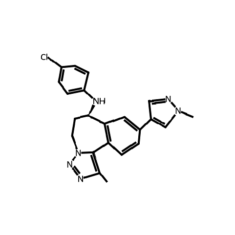 Cc1nnn2c1-c1ccc(-c3cnn(C)c3)cc1[C@H](Nc1ccc(Cl)cc1)CC2